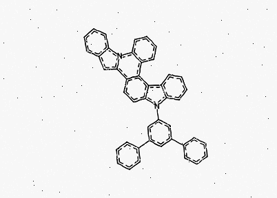 c1ccc(-c2cc(-c3ccccc3)cc(-n3c4ccccc4c4c5c6ccccc6n6c7ccccc7cc6c5ccc43)c2)cc1